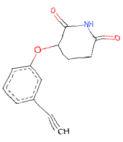 C#Cc1cccc(OC2CCC(=O)NC2=O)c1